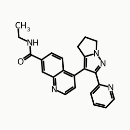 CCNC(=O)c1ccc2c(-c3c(-c4ccccn4)nn4c3CCC4)ccnc2c1